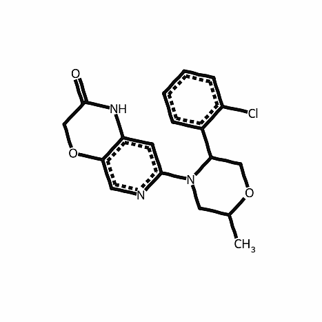 CC1CN(c2cc3c(cn2)OCC(=O)N3)C(c2ccccc2Cl)CO1